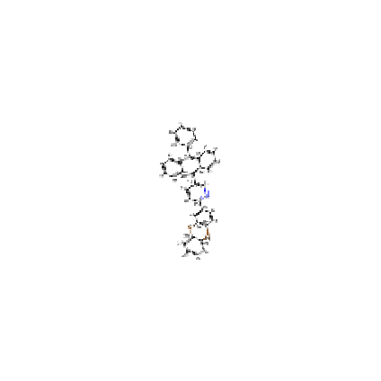 c1ccc(-c2c3ccccc3c(-c3ccc(-c4ccc5c(c4)Sc4ccccc4S5)nc3)c3ccccc23)cc1